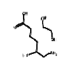 CCC(C)CCCC(=O)O.OCCO